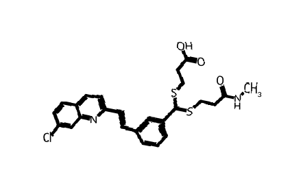 CNC(=O)CCSC(SCCC(=O)O)c1cccc(C=Cc2ccc3ccc(Cl)cc3n2)c1